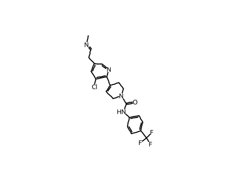 C/N=C/Cc1cnc(C2=CCN(C(=O)Nc3ccc(C(F)(F)F)cc3)CC2)c(Cl)c1